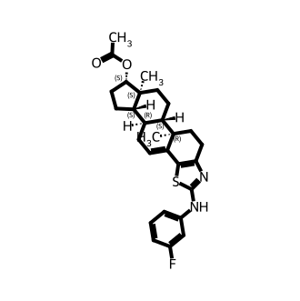 CC(=O)O[C@H]1CC[C@H]2[C@@H]3CC=C4c5sc(Nc6cccc(F)c6)nc5CC[C@]4(C)[C@H]3CC[C@]12C